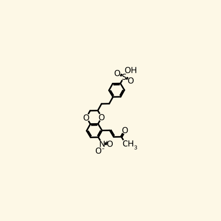 CC(=O)C=Cc1c([N+](=O)[O-])ccc2c1OC(CCc1ccc(S(=O)(=O)O)cc1)CO2